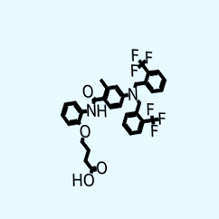 Cc1cc(N(Cc2ccccc2C(F)(F)F)Cc2ccccc2C(F)(F)F)ccc1C(=O)Nc1ccccc1OCCCC(=O)O